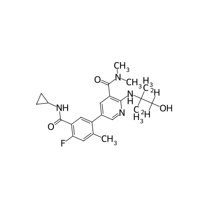 [2H]C([2H])(O)C(C)(C)Nc1ncc(-c2cc(C(=O)NC3CC3)c(F)cc2C)cc1C(=O)N(C)C